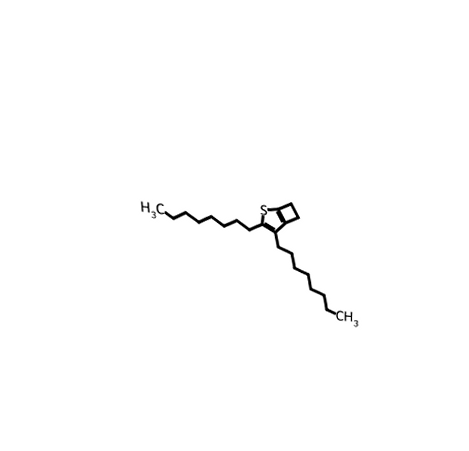 CCCCCCCCc1sc2c(c1CCCCCCCC)CC2